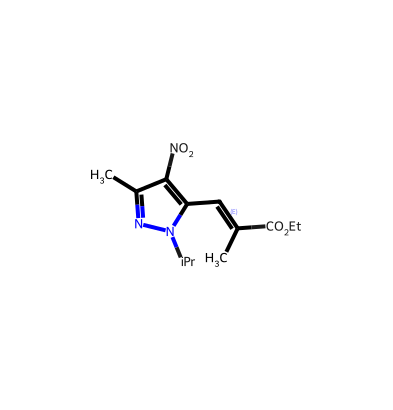 CCOC(=O)/C(C)=C/c1c([N+](=O)[O-])c(C)nn1C(C)C